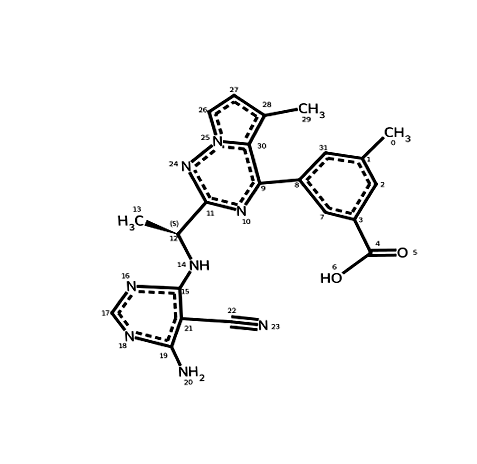 Cc1cc(C(=O)O)cc(-c2nc([C@H](C)Nc3ncnc(N)c3C#N)nn3ccc(C)c23)c1